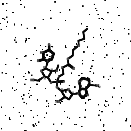 CCCCOCCOC(=O)OCSP(=O)(OC1[C@@H](CO)O[C@@H](n2ccc(=O)[nH]c2=O)[C@H]1OC)O[C@H]1O[C@@H](n2cnc3c(N)ccnc32)CC1O